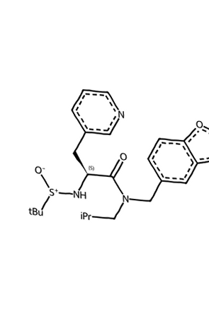 CC(C)CN(Cc1ccc2occc2c1)C(=O)[C@H](Cc1cccnc1)N[S+]([O-])C(C)(C)C